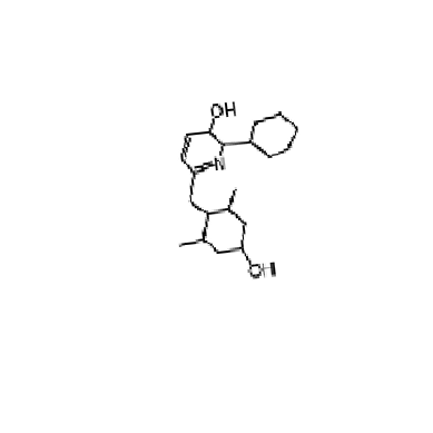 CC1CC(O)CC(C)C1CC1=NC(C2CCCCC2)C(O)C=C1